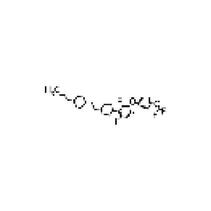 CCCC[C@H]1CC[C@H](CCC2CCC(c3c(F)c[c]c(Oc4ccc(OC(F)F)cc4)c3F)CC2)CC1